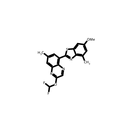 COc1cc(C)c2nc(-c3cc(C)cc4nc(OC(F)F)cnc34)sc2c1